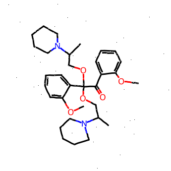 COc1ccccc1C(=O)C(OCC(C)N1CCCCC1)(OCC(C)N1CCCCC1)c1ccccc1OC